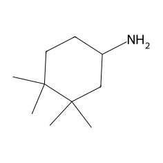 CC1(C)CCC(N)CC1(C)C